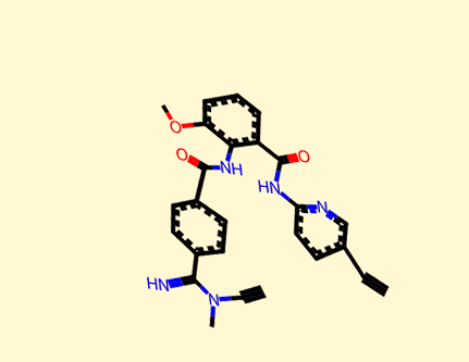 C#Cc1ccc(NC(=O)c2cccc(OC)c2NC(=O)c2ccc(C(=N)N(C)C#C)cc2)nc1